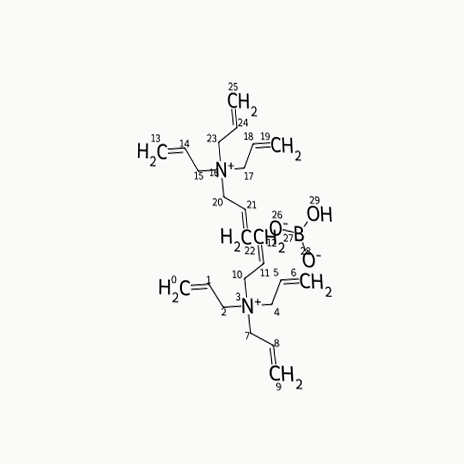 C=CC[N+](CC=C)(CC=C)CC=C.C=CC[N+](CC=C)(CC=C)CC=C.[O-]B([O-])O